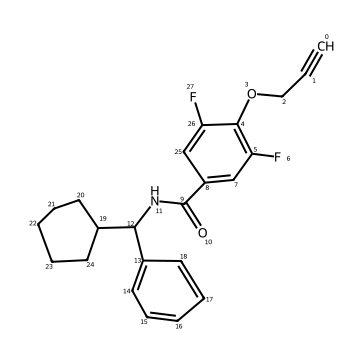 C#CCOc1c(F)cc(C(=O)NC(c2ccccc2)C2CCCCC2)cc1F